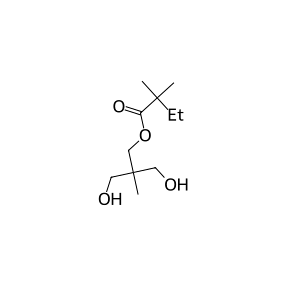 CCC(C)(C)C(=O)OCC(C)(CO)CO